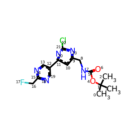 CC(C)(C)OC(=O)NCc1cc(-c2cnc(CF)nc2)nc(Cl)n1